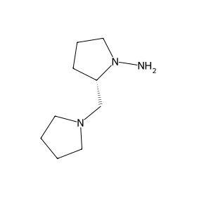 NN1CCC[C@H]1CN1CCCC1